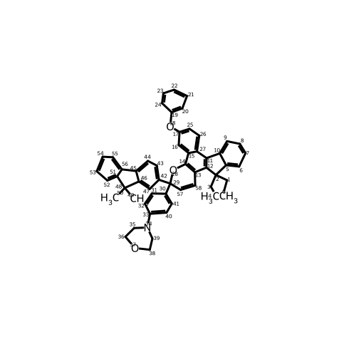 CCC1(CC)c2ccccc2-c2c1c1c(c3cc(Oc4ccccc4)ccc23)OC(c2ccc(N3CCOCC3)cc2)(c2ccc3c(c2)C(C)(C)c2ccccc2-3)C=C1